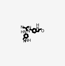 N#Cc1cnc(-c2ccc3cc(C=O)[nH]c3c2)nc1Nc1ccc2[nH]ncc2c1